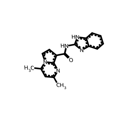 Cc1cc(C)n2ccc(C(=O)Nc3nc4ccccc4[nH]3)c2n1